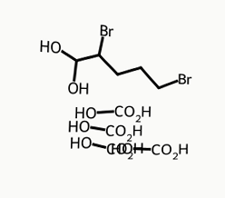 O=C(O)O.O=C(O)O.O=C(O)O.O=C(O)O.OC(O)C(Br)CCCBr